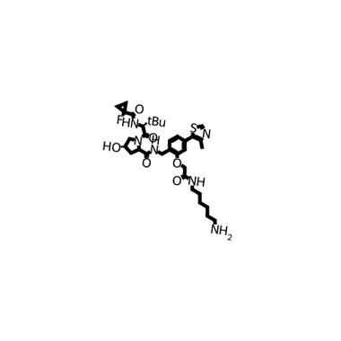 Cc1ncsc1-c1ccc(CNC(=O)C2C[C@@H](O)CN2C(=O)[C@@H](NC(=O)C2(F)CC2)C(C)(C)C)c(OCC(=O)NCCCCCCN)c1